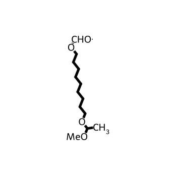 COC(C)OCCCCCCCCCO[C]=O